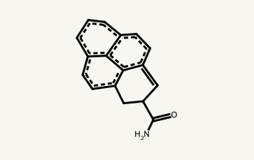 NC(=O)[C]1C=c2ccc3cccc4ccc(c2c43)C1